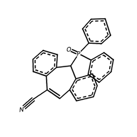 N#CC1=Cc2ccccc2C(P(=O)(c2ccccc2)c2ccccc2)c2ccccc21